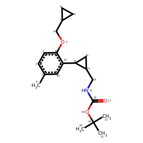 Cc1ccc(OCC2CC2)c(C2CC2CNC(=O)OC(C)(C)C)c1